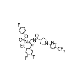 CCN(C(=O)Oc1ccc(F)cc1)[C@@H]1CN(C(=O)C2CCN(c3ccc(C(F)(F)F)cn3)CC2)C[C@H]1c1ccc(F)c(F)c1